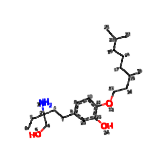 CCC(N)(CO)CCc1ccc(OCCC(C)CCCC(C)C)c(O)c1